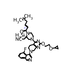 CN(C)C/C=C/C(=O)N1CCN(c2nc(OCCOC3CC3)nc3c2CCN(c2cncc4cccc(F)c24)C3)C[C@@]1([SiH3])CC#N